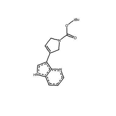 CC(C)(C)OC(=O)N1CC=C(c2c[nH]c3cccnc23)C1